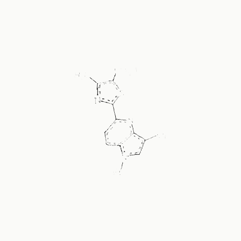 Cc1nc(-c2ccc3c(n2)c(C#N)cn3C(C)C)sc1C(=O)O